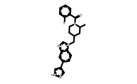 CC1CC(Cn2cnc3cc(-c4cn[nH]c4)ccc32)CCN1C(=O)c1ccccc1F